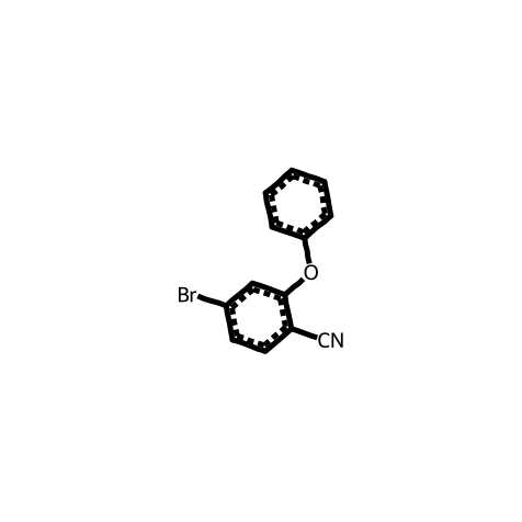 N#Cc1ccc(Br)cc1Oc1ccccc1